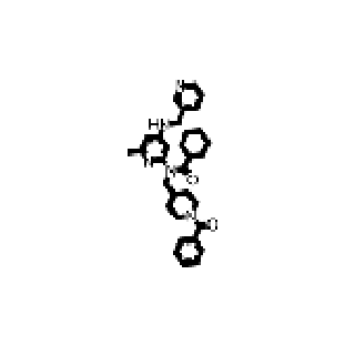 Cc1cc(NCc2cccnc2)cc(N(CC2CCN(C(=O)c3ccccc3)CC2)C(=O)C2CCCCC2)n1